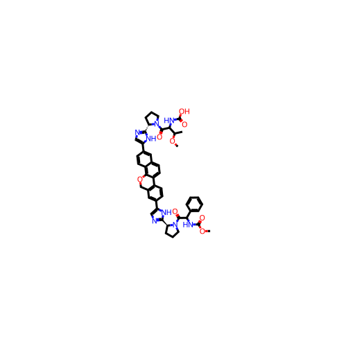 COC(=O)NC(C(=O)N1CCC[C@H]1c1ncc(-c2ccc3c(c2)COc2c-3ccc3cc(-c4cnc([C@@H]5CCCN5C(=O)C(NC(=O)O)C(C)OC)[nH]4)ccc23)[nH]1)c1ccccc1